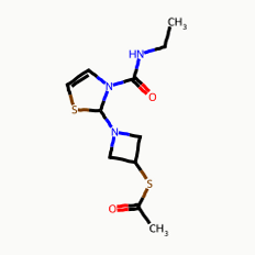 CCNC(=O)N1C=CSC1N1CC(SC(C)=O)C1